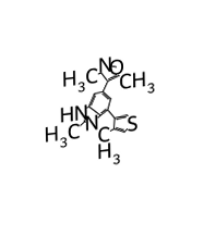 Cc1nc2c(-c3cscc3C)cc(-c3c(C)noc3C)cc2[nH]1